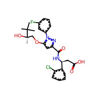 CC(C)(C)[C@](C)(O)COc1cc(C(=O)N[C@@H](CC(=O)O)c2ccccc2Cl)nn1-c1cccc(F)c1